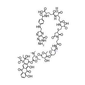 CC[C@@]1(O)C[C@H](O[C@H]2CC(N(C)C)[C@H](O[C@H]3CC(O)[C@H](O[C@H]4CC/C(=N/NC(=O)CCN5C(=O)CC(SCC(NC(=O)CCC(NC(=O)CCC(NC(=O)c6ccc(NCc7cnc8nc(N)[nH]c(=O)c8n7)cc6)C(=O)O)C(=O)O)C(=O)O)C5=O)C(C)O4)C(C)O3)C(C)O2)c2c(cc3c(c2O)C(=O)c2c(O)cccc2C3=O)[C@H]1C(=O)OC